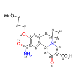 COCCCOc1cc2c(cc1C(N)=O)-c1cc(=O)c(C(=O)O)cn1C1(CCC1)C2